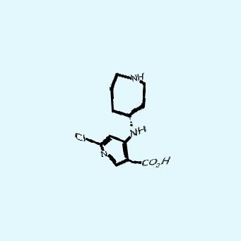 O=C(O)c1cnc(Cl)cc1N[C@@H]1CCCNCC1